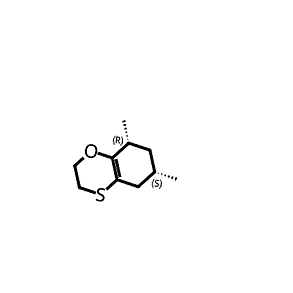 C[C@@H]1CC2=C(OCCS2)[C@H](C)C1